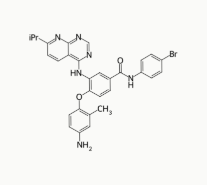 Cc1cc(N)ccc1Oc1ccc(C(=O)Nc2ccc(Br)cc2)cc1Nc1ncnc2nc(C(C)C)ccc12